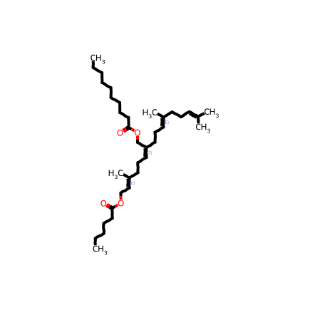 CCCCCCCCCC(=O)OC/C(=C\CC/C(C)=C/COC(=O)CCCCC)CC/C=C(\C)CCC=C(C)C